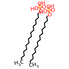 CCCCCCCCCCCCCCCCOP(=O)(O)O.CCCCCCCCCCCCCCCCOP(=O)(O)O